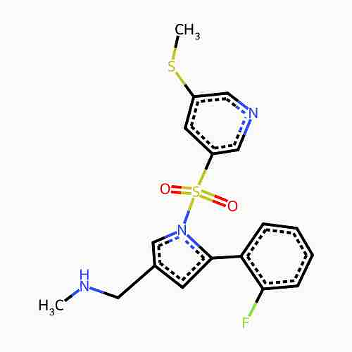 CNCc1cc(-c2ccccc2F)n(S(=O)(=O)c2cncc(SC)c2)c1